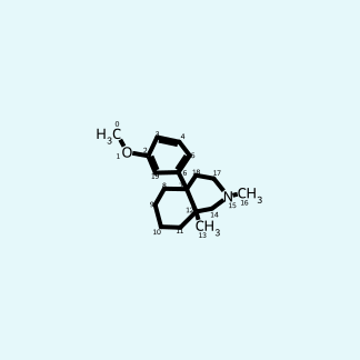 COc1cccc(C23CCCCC2(C)CN(C)CC3)c1